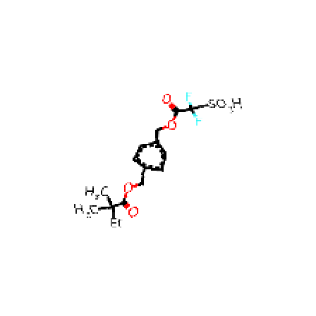 CCC(C)(C)C(=O)OCc1ccc(COC(=O)C(F)(F)S(=O)(=O)O)cc1